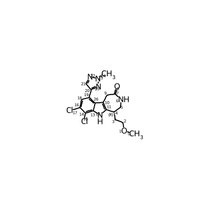 COCC[C@@H]1CNC(=O)Cc2c1[nH]c1c(Cl)c(Cl)cc(-c3cnn(C)n3)c21